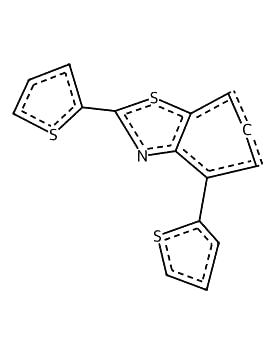 c1csc(-c2nc3c(-c4cccs4)cccc3s2)c1